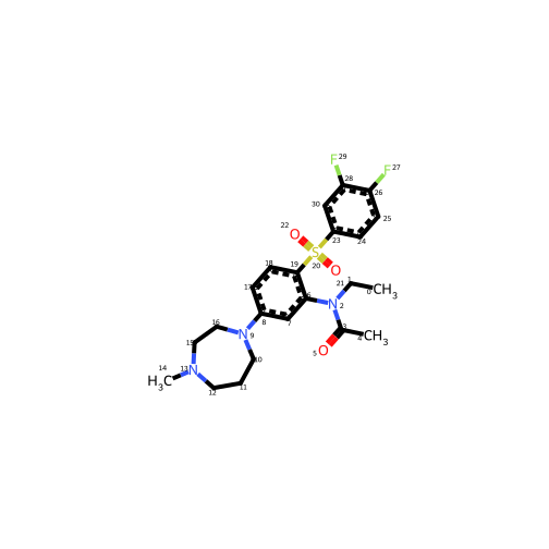 CCN(C(C)=O)c1cc(N2CCCN(C)CC2)ccc1S(=O)(=O)c1ccc(F)c(F)c1